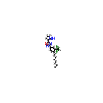 CCCCCCCCc1ccc(-c2noc(C3CCCN3)n2)cc1C(F)(F)F